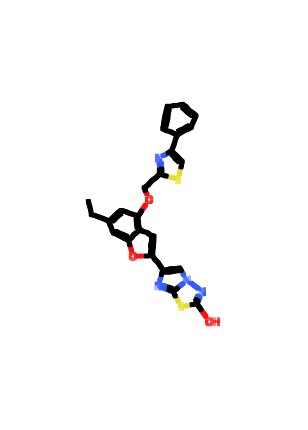 CCc1cc(OCc2nc(-c3ccccc3)cs2)c2cc(-c3cn4nc(O)sc4n3)oc2c1